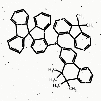 CC1(C)c2ccccc2-c2c(N(c3ccc4c(c3)C(C)(C)C(C)(C)c3ccccc3-4)c3cccc4c3-c3ccccc3C43c4ccccc4-c4ccccc43)cccc21